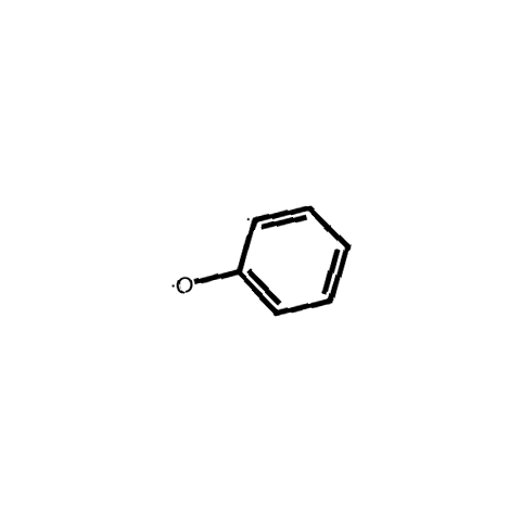 [O]c1[c]cccc1